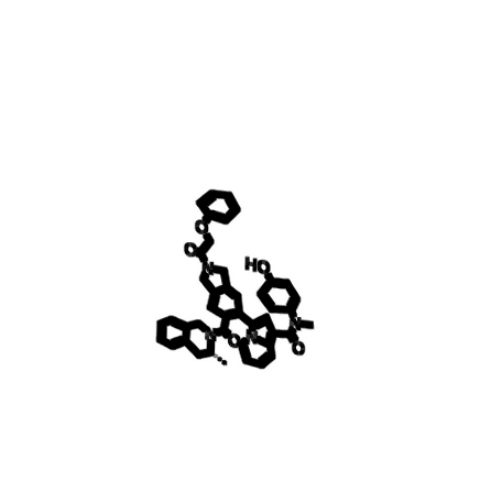 C[C@@H]1Cc2ccccc2CN1C(=O)c1cc2c(cc1-c1cc(C(=O)N(C)c3ccc(O)cc3)c3ccccn13)CN(C(=O)COc1ccccc1)C2